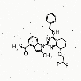 Cc1cc2c(C(N)=O)cccc2n1-c1nc(NCc2ccccc2)c2c(n1)C(OCC(F)F)CCC2